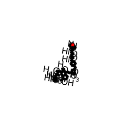 CC(NC1CC2[C@](C)(CC[C@@H](O)[C@@]2(C)CO)C(/C=C/C2=CC(=C\c3ccc(NC(=O)CC(=O)NC4C5CN6CC4CN(C5)C6)cc3)/OC2=O)C12CO2)C(=O)Nc1ncc[nH]1